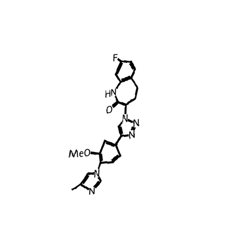 COc1cc(-c2cn(C3CCc4ccc(F)cc4NC3=O)nn2)ccc1-n1cnc(C)c1